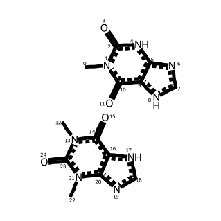 Cn1c(=O)[nH]c2nc[nH]c2c1=O.Cn1c(=O)c2[nH]cnc2n(C)c1=O